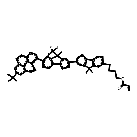 C=CC(=O)OCCCCc1ccc2c(c1)C(C)(C)c1cc(-c3ccc4c(c3)C(C)(C(F)(F)F)c3cc(-c5ccc6ccc7cc(C(C)(C)C)cc8ccc5c6c78)ccc3-4)ccc1-2